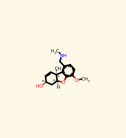 CNCc1ccc(OC)c2c1[C@]1(C)C=C[C@H](O)C[C@@H]1O2